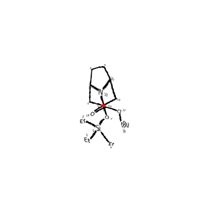 CC[Si](CC)(CC)OC1CC2CCC(C1)N2C(=O)OC(C)(C)C